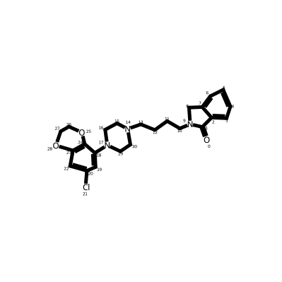 O=C1c2ccccc2CN1CCCCN1CCN(c2cc(Cl)cc3c2OCCO3)CC1